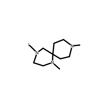 CN1CCC2(CC1)CN(I)CCN2C